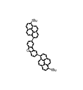 CC(C)(C)c1ccc2ccc3c(-c4ccc5oc6ccc(-c7ccc8ccc9c(C(C)(C)C)ccc%10ccc7c8c%109)cc6c5c4)ccc4ccc1c2c43